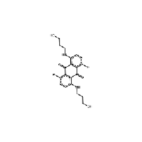 O=C1c2c(Br)ccc(NCCCO)c2C(=O)c2c(Br)ccc(NCCCO)c21